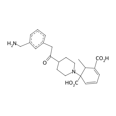 CC1C(C(=O)O)=CC=CC1(C(=O)O)N1CCC(C(=O)Cc2cccc(CN)c2)CC1